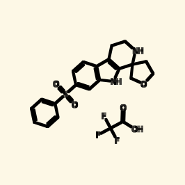 O=C(O)C(F)(F)F.O=S(=O)(c1ccccc1)c1ccc2c3c([nH]c2c1)C1(CCOC1)NCC3